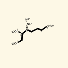 CCCCCCCCCCCCN[C@@H](CC(=O)[O-])C(=O)[O-].[Na+].[Na+]